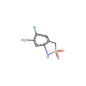 Cc1cc2c(cc1Br)CS(=O)(=O)N2